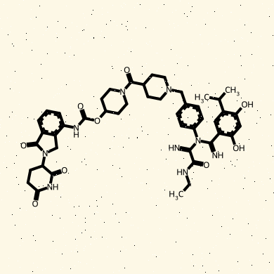 CCNC(=O)C(=N)N(C(=N)c1cc(C(C)C)c(O)cc1O)c1ccc(CN2CCC(C(=O)N3CCC(OC(=O)Nc4cccc5c4CN(C4CCC(=O)NC4=O)C5=O)CC3)CC2)cc1